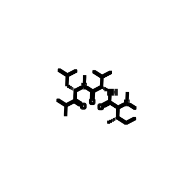 CC[C@H](C)C(C(=O)N[C@H](C(=O)N(C)[C@@H](CC(C)C)C(=O)C(C)C)C(C)C)N(C)C